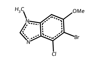 COc1cc2c(ncn2C)c(Cl)c1Br